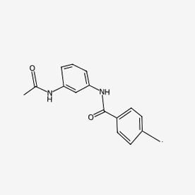 [CH2]c1ccc(C(=O)Nc2cccc(NC(C)=O)c2)cc1